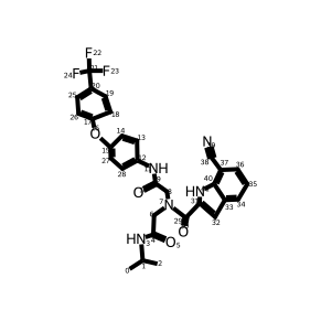 CC(C)NC(=O)CN(CC(=O)Nc1ccc(Oc2ccc(C(F)(F)F)cc2)cc1)C(=O)c1cc2cccc(C#N)c2[nH]1